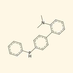 CN(C)c1ccccc1-c1ccc(Pc2ccccc2)cc1